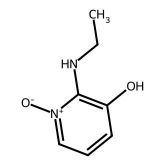 CCNc1c(O)ccc[n+]1[O-]